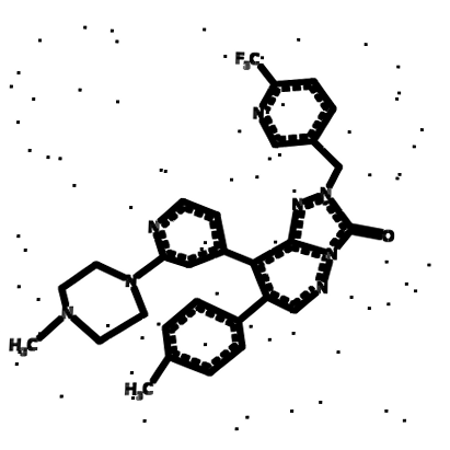 Cc1ccc(-c2cnn3c(=O)n(Cc4ccc(C(F)(F)F)nc4)nc3c2-c2ccnc(N3CCN(C)CC3)c2)cc1